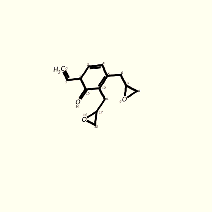 C=CC1C=CC(CC2CO2)=C(CC2CO2)C1=O